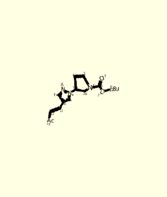 CCCCOC(=O)N1CCC(n2cc(/C=C/C(C)=O)cn2)C1